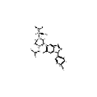 Cc1cc2c(cnn2-c2ccc(F)cc2)cc1[C@H]1CN(S(=O)(=O)N(C)C)CCN1CC(C)C